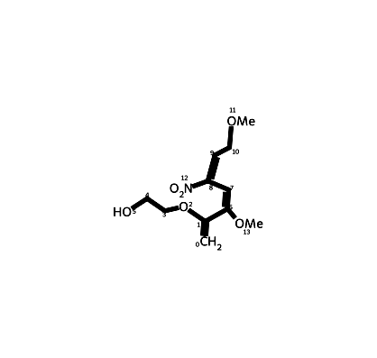 C=C(OCCO)/C(=C\C(=C/COC)[N+](=O)[O-])OC